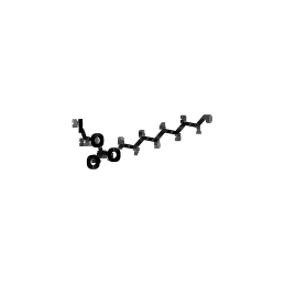 CCCCCCCCCOC(=O)OCI